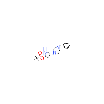 CC(C)(C)C(=O)OC1C[C@@H](CN2CCN(Cc3ccccc3)CC2)CN1